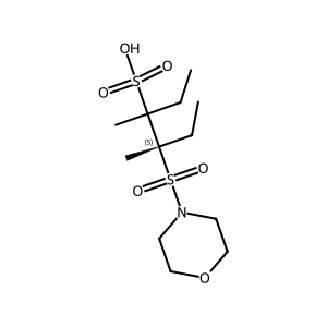 CCC(C)([C@](C)(CC)S(=O)(=O)N1CCOCC1)S(=O)(=O)O